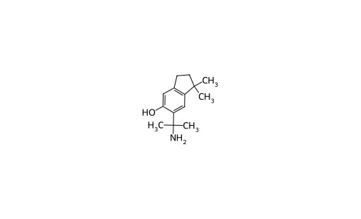 CC(C)(N)c1cc2c(cc1O)CCC2(C)C